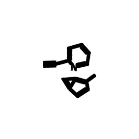 C#Cc1ccccn1.Cc1ccc2cc1-2